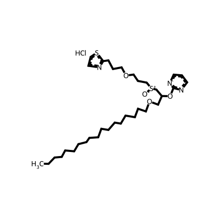 CCCCCCCCCCCCCCCCCCOCC(C[S+]([O-])CCCOCCCc1nccs1)Oc1ncccn1.Cl